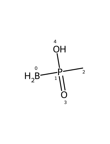 BP(C)(=O)O